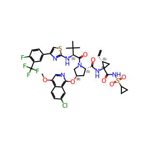 C=C[C@@H]1C[C@]1(NC(=O)[C@@H]1C[C@@H](Oc2ncc(OC)c3ccc(Cl)cc23)CN1C(=O)[C@@H](Nc1nc(-c2ccc(F)c(C(F)(F)F)c2)cs1)C(C)(C)C)C(=O)NS(=O)(=O)C1CC1